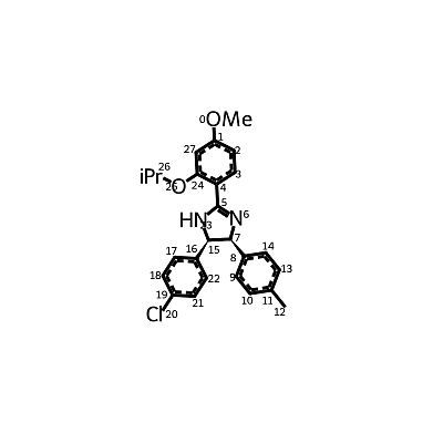 COc1ccc(C2=N[C@@H](c3ccc(C)cc3)[C@@H](c3ccc(Cl)cc3)N2)c(OC(C)C)c1